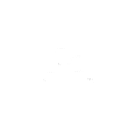 C[N+](C)(C)CCN1CCCc2ccc(N)cc21